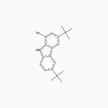 [2H]c1cc(C(C)(C)C)cc2c1[nH]c1ccc(C(C)(C)C)cc12